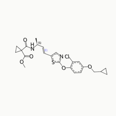 COC(=O)C1(C(=O)N[C@@H](C)/C=C/c2cnc(Oc3ccc(OCC4CC4)cc3Cl)s2)CC1